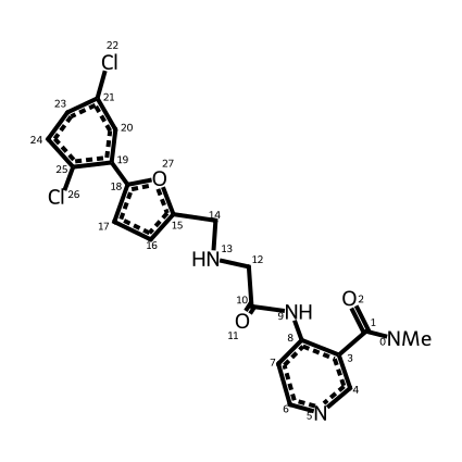 CNC(=O)c1cnccc1NC(=O)CNCc1ccc(-c2cc(Cl)ccc2Cl)o1